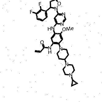 C=CC(=O)Nc1cc(Nc2cc(N3OCCC3c3cccc(F)c3F)ncn2)c(OC)cc1N1CCC(N2CCN(C3CC3)CC2)CC1